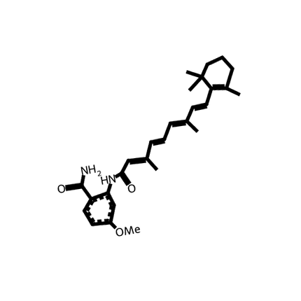 COc1ccc(C(N)=O)c(NC(=O)/C=C(C)/C=C/C=C(C)/C=C/C2=C(C)CCCC2(C)C)c1